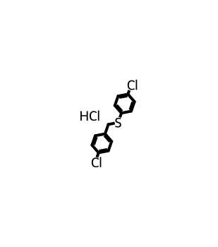 Cl.Clc1ccc(CSc2ccc(Cl)cc2)cc1